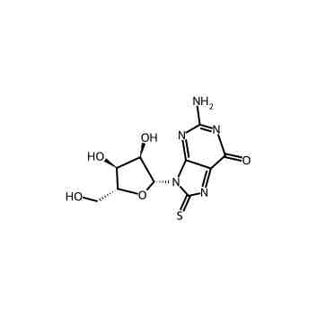 NC1=NC(=O)C2=NC(=S)N([C@@H]3O[C@H](CO)[C@@H](O)[C@H]3O)C2=N1